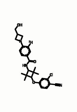 [2H]c1cc(C(=O)NC2C(C)(C)C(Oc3ccc(C#N)c(Cl)c3)C2(C)C)ccc1N1CC(CO)C1